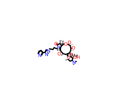 CC[C@H]1OC(=O)[C@H](C)C(=O)[C@H](C)[C@@H](OC2O[C@H](C)C[C@H](N(C)C)[C@H]2O)[C@](C)(OC)C[C@@H](C)C(=O)[C@H](C)[C@H]2N(CCCCn3cnc(-c4cccnc4)c3)C(=O)C[C@]12C